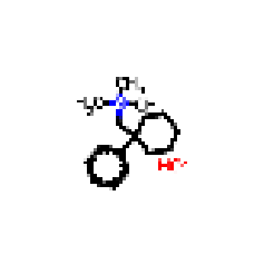 C[N+](C)(C)CC1(c2ccccc2)CCCCC1.[OH-]